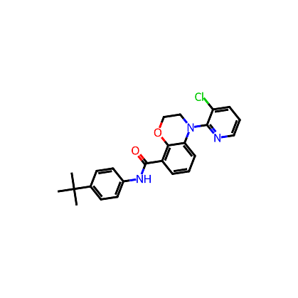 CC(C)(C)c1ccc(NC(=O)c2cccc3c2OCCN3c2ncccc2Cl)cc1